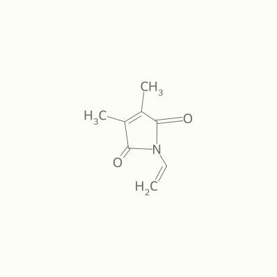 C=CN1C(=O)C(C)=C(C)C1=O